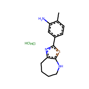 Cc1ccc(-c2nc3c(s2)NCCCC3)cc1N.Cl.Cl